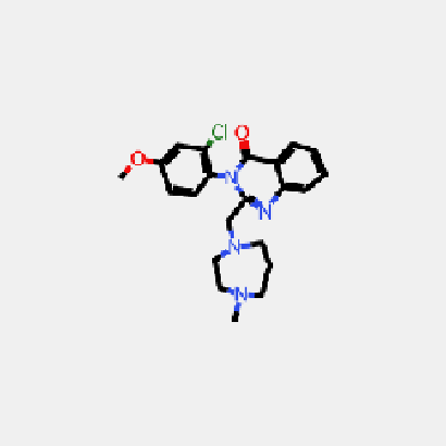 COc1ccc(-n2c(CN3CCCN(C)CC3)nc3ccccc3c2=O)c(Cl)c1